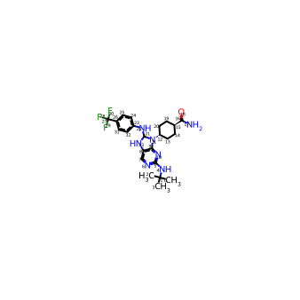 CC(C)(C)Nc1ncc2c(n1)N([C@H]1CC[C@H](C(N)=O)CC1)C(Nc1ccc(C(F)(F)F)cc1)N2